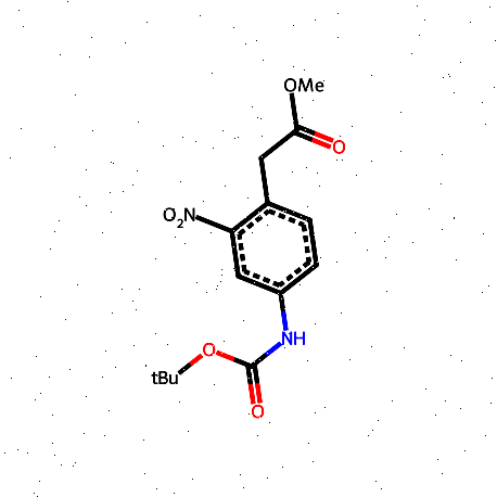 COC(=O)Cc1ccc(NC(=O)OC(C)(C)C)cc1[N+](=O)[O-]